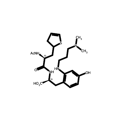 CC(=O)N[C@@H](CC1CC=CS1)C(=O)N[C@@H](Cc1ccc(O)cc1NCCCN(C)C)C(=O)O